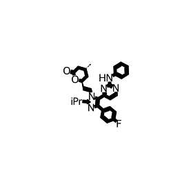 CC(C)c1nc(-c2ccc(F)cc2)c(-c2ccnc(Nc3ccccc3)n2)n1/C=C/[C@@H]1C[C@@H](C)CC(=O)O1